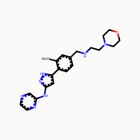 COc1cc(CNCCN2CCOCC2)ccc1-c1cc(Nc2cnccn2)n[nH]1